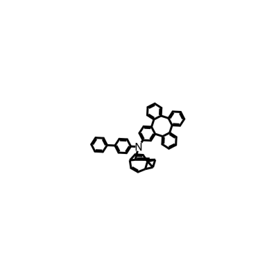 C1=CC2C3C4C=C(N(c5ccc(-c6ccccc6)cc5)c5ccc6c(c5)-c5ccccc5-c5ccccc5-c5ccccc5-6)C1C=CC243